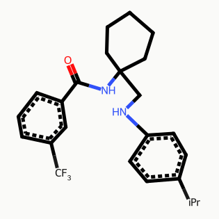 CC(C)c1ccc(NCC2(NC(=O)c3cccc(C(F)(F)F)c3)CCCCC2)cc1